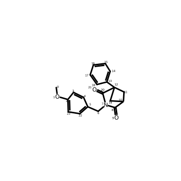 COc1ccc(CN2C(=O)C3CC(c4ccccc4)(C3)C2=O)cc1